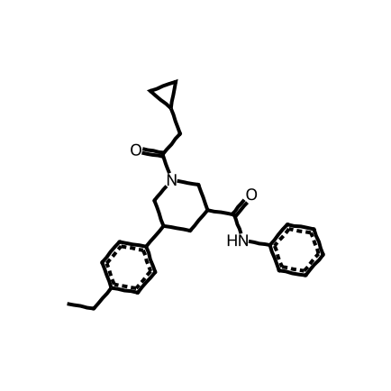 CCc1ccc(C2CC(C(=O)Nc3ccccc3)CN(C(=O)CC3CC3)C2)cc1